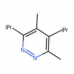 Cc1nnc(C(C)C)c(C)c1C(C)C